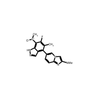 CNc1cn2cc(-c3c(C)c(F)c([S+](C)[O-])c4[nH]ncc34)ccc2n1